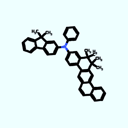 CC1(C)c2ccccc2-c2ccc(N(c3ccccc3)c3ccc4c(c3)C(C)(C)C(C)(C)c3cc5c(ccc6ccccc65)cc3-4)cc21